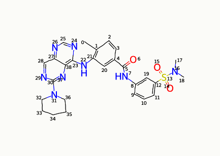 Cc1ccc(C(=O)Nc2cccc(S(=O)(=O)N(C)C)c2)cc1Nc1ncnc2cnc(N3CCCCC3)nc12